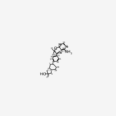 CC(C)(O)C[C@H]1CC[C@H](c2ccc(C3=Nc4c(N)ncnc4OC3(C)C)cc2)CC1